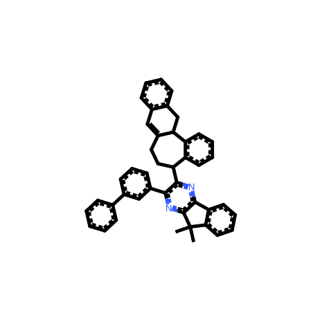 CC1(C)c2ccccc2-c2nc(C3CCC4=Cc5ccccc5CC4c4ccccc43)c(-c3cccc(-c4ccccc4)c3)nc21